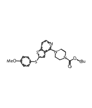 COc1ccc(Sc2cc3c(N4CCN(C(=O)OC(C)(C)C)CC4)nccc3s2)cc1